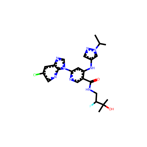 CC(C)n1cc(Nc2cc(-n3cnc4cc(Cl)cnc43)ncc2C(=O)NCC(F)C(C)(C)O)cn1